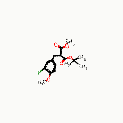 COC(=O)C(Cc1ccc(OC)c(F)c1)C(=O)OC(C)(C)C